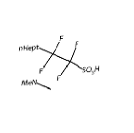 CCCCCCCC(F)(F)C(F)(F)S(=O)(=O)O.CNC